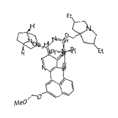 CCC1CN2CC(CC)CC2(COc2nc(N3C[C@H]4CC[C@@H](C3)N4C(=O)O)c3cnc(-c4cc(OCOC)cc5cccc(C#C[Si](C(C)C)(C(C)C)C(C)C)c45)c(F)c3n2)C1